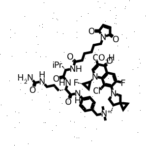 CC(C)[C@H](NC(=O)CCCCCN1C(=O)C=CC1=O)C(=O)N[C@@H](CCCNC(N)=O)C(=O)Nc1ccc(C[N+](C)(C)C[C@@H]2CN(c3c(F)cc4c(=O)c(C(=O)O)cn([C@H]5C[C@@H]5F)c4c3Cl)CC23CC3)cc1